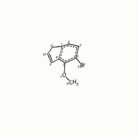 COc1c(Br)ccc2c1C=CC2